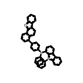 c1ccc(N(c2ccc(-c3cccc4c3ccc3c5ccccc5oc43)cc2)c2cccc3c4ccccc4n(-c4ccccc4)c23)cc1